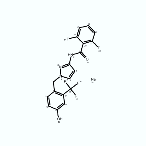 O=C(Nc1ccn(Cc2ccc(O)cc2C(F)(F)F)n1)c1c(F)cccc1F.[Na]